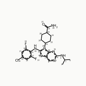 CC(C)Nc1ncc2nc(Nc3c(F)cc(Cl)cc3F)n(C3CCC(C(N)=O)CC3)c2n1